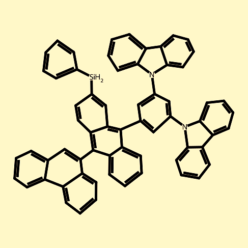 c1ccc([SiH2]c2ccc3c(-c4cc5ccccc5c5ccccc45)c4ccccc4c(-c4cc(-n5c6ccccc6c6ccccc65)cc(-n5c6ccccc6c6ccccc65)c4)c3c2)cc1